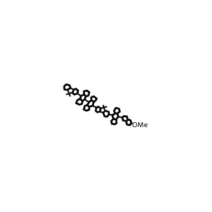 COc1ccc2cc(-c3c4ccccc4c(-c4ccc5c(c4)C(C)(C)c4cc(-c6c7ccccc7c(-c7c8ccccc8c(-c8ccc9c(c8)C(C)(C)c8ccccc8-9)c8ccccc78)c7ccccc67)ccc4-5)c4ccccc34)ccc2c1